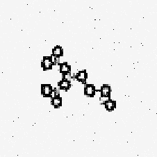 c1cc(-c2cccc(-n3c4ccc(-n5c6ccccc6c6ccccc65)cc4c4cc(-n5c6ccccc6c6ccccc65)ccc43)c2)cc(-c2cccc3c2sc2ccccc23)c1